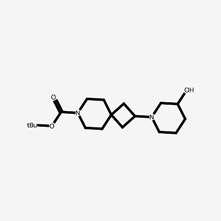 CC(C)(C)OC(=O)N1CCC2(CC1)CC(N1CCCC(O)C1)C2